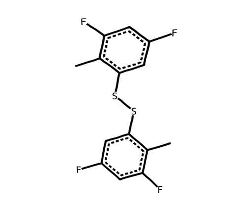 Cc1c(F)cc(F)cc1SSc1cc(F)cc(F)c1C